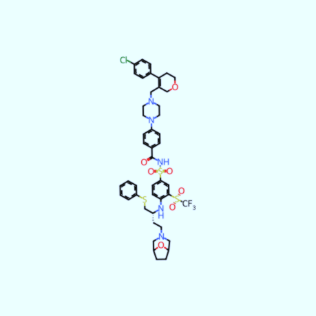 O=C(NS(=O)(=O)c1ccc(N[C@H](CCN2CC3CCC(C2)O3)CSc2ccccc2)c(S(=O)(=O)C(F)(F)F)c1)c1ccc(N2CCN(CC3=C(c4ccc(Cl)cc4)CCOC3)CC2)cc1